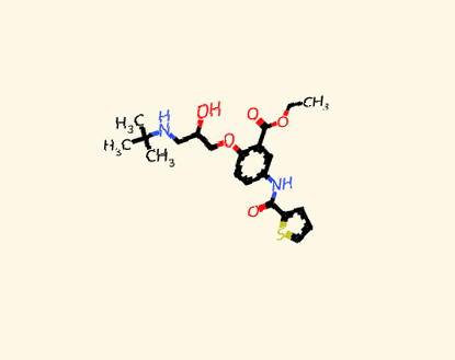 CCOC(=O)c1cc(NC(=O)c2cccs2)ccc1OCC(O)CNC(C)(C)C